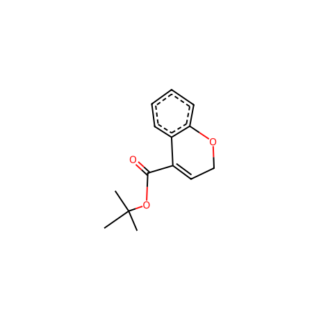 CC(C)(C)OC(=O)C1=CCOc2ccccc21